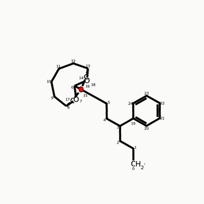 [CH2]CCC(CC[C]1OC2CCCCC(COCC2)O1)c1ccccc1